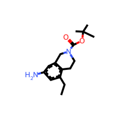 CCc1cc(N)cc2c1CCN(C(=O)OC(C)(C)C)C2